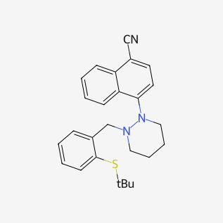 CC(C)(C)Sc1ccccc1CN1CCCCN1c1ccc(C#N)c2ccccc12